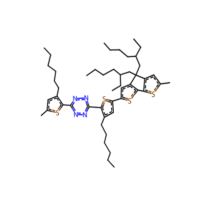 CCCCCCc1cc(C)sc1-c1nnc(-c2sc(-c3cc4c(s3)-c3sc(C)cc3C4(CC(CC)CCCC)CC(CC)CCCC)cc2CCCCCC)nn1